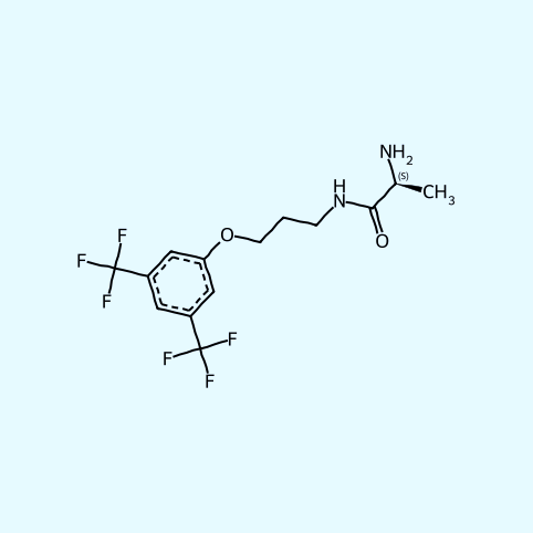 C[C@H](N)C(=O)NCCCOc1cc(C(F)(F)F)cc(C(F)(F)F)c1